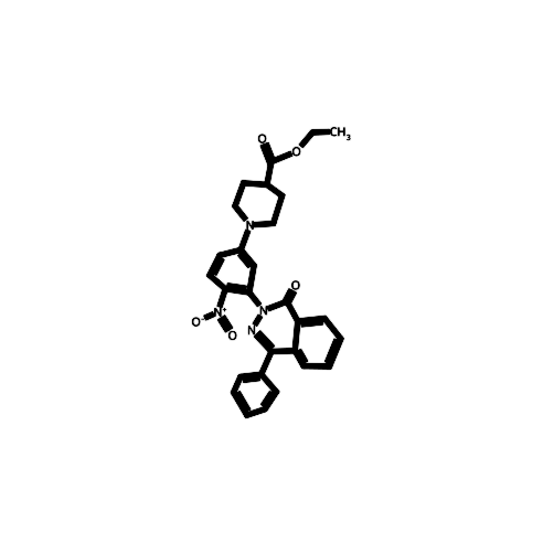 CCOC(=O)C1CCN(c2ccc([N+](=O)[O-])c(-n3nc(-c4ccccc4)c4ccccc4c3=O)c2)CC1